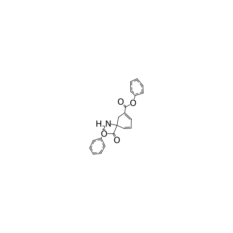 NC1(C(=O)Oc2ccccc2)C=CC=C(C(=O)Oc2ccccc2)C1